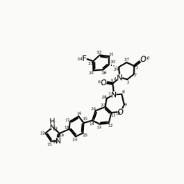 O=C1CCN(C(=O)N2CCOc3ccc(-c4ccc(-c5ncc[nH]5)cc4)cc3C2)[C@H](c2ccc(F)cc2)C1